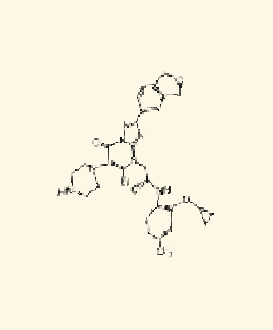 CCc1c(N2CCNCC2)c(=O)n2nc(-c3ccc4c(c3)COC4)nc2n1CC(=O)Nc1ccc(C(F)(F)F)cc1OC1CC1